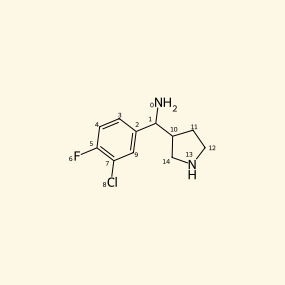 NC(c1ccc(F)c(Cl)c1)C1CCNC1